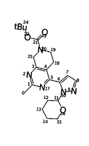 Cc1nc2c(c(-c3ccnn3C3CCCCO3)n1)CCN(C(=O)OC(C)(C)C)C2